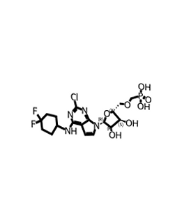 O=P(O)(O)COC[C@H]1O[C@@H](n2ccc3c(NC4CCC(F)(F)CC4)nc(Cl)nc32)[C@H](O)[C@@H]1O